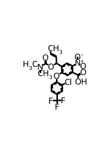 CC=CC(OC(=O)N(C)C)c1cc([N+](=O)[O-])c(C(=O)O)cc1Oc1ccc(C(F)(F)F)cc1Cl